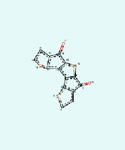 O=c1c2ccsc2c2c1sc1c(=O)c3ccsc3c12